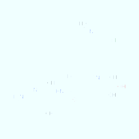 C=N/C=C(\C=C\Cl)/C=C/CC(/C=C(\CC)C(=O)NCc1c(C)cc(N)nc1C)=N/CC(C)(C)O